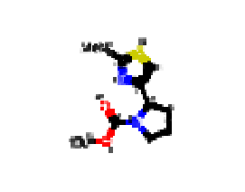 CNc1nc([C@H]2CCCN2C(=O)OC(C)(C)C)cs1